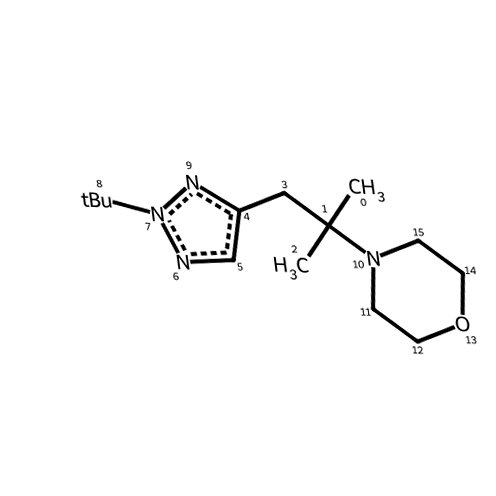 CC(C)(Cc1cnn(C(C)(C)C)n1)N1CCOCC1